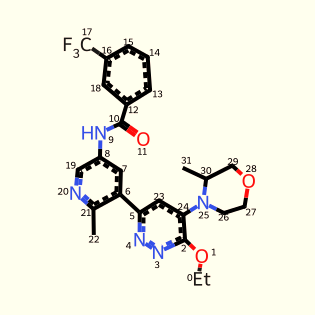 CCOc1nnc(-c2cc(NC(=O)c3cccc(C(F)(F)F)c3)cnc2C)cc1N1CCOCC1C